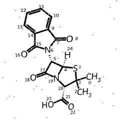 CC1(C)S[C@@H]2[C@@H](N3C(=O)c4ccccc4C3=O)C(=O)N2[C@H]1C(=O)O